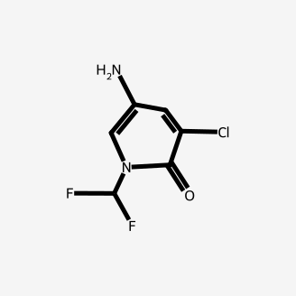 Nc1cc(Cl)c(=O)n(C(F)F)c1